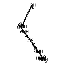 NN[C@@H](CCCCNC(=O)COCCOCCNC(=O)COCCOCCNC(=O)CC[C@H](NC(=O)CCCCCCCCCCCCCCC(=O)O)C(=O)O)C(=O)O